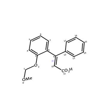 COCOc1ccccc1/C(=C/C(=O)O)c1ccccc1